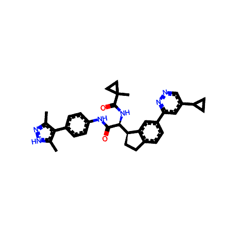 Cc1n[nH]c(C)c1-c1ccc(NC(=O)[C@@H](NC(=O)C2(C)CC2)[C@@H]2CCc3ccc(-c4cc(C5CC5)cnn4)cc32)cc1